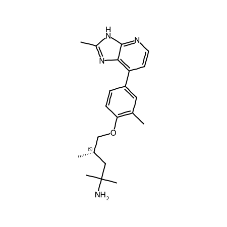 Cc1nc2c(-c3ccc(OC[C@@H](C)CC(C)(C)N)c(C)c3)ccnc2[nH]1